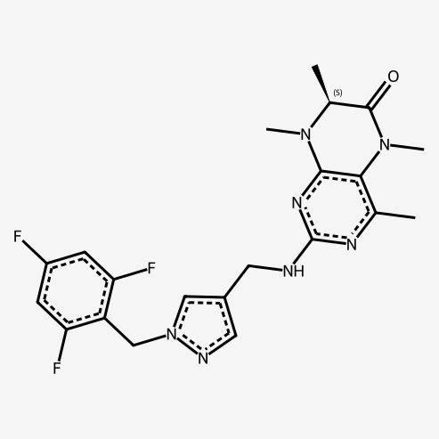 Cc1nc(NCc2cnn(Cc3c(F)cc(F)cc3F)c2)nc2c1N(C)C(=O)[C@H](C)N2C